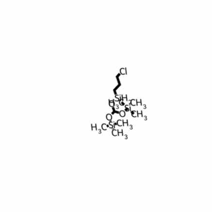 C[Si](C)(C)OC(O[SiH2]CCCCl)O[Si](C)(C)C